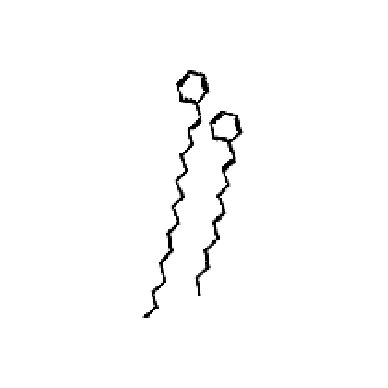 CCCCCCCCCC=Cc1ccccc1.CCCCCCCCCCCCCCC=Cc1ccccc1